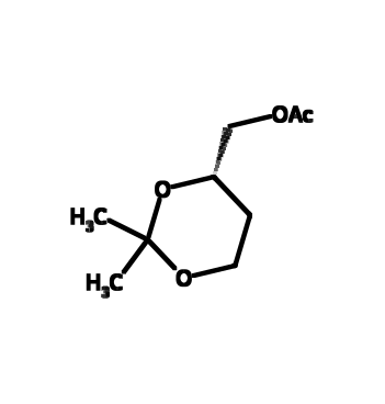 CC(=O)OC[C@@H]1CCOC(C)(C)O1